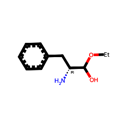 CCOC(O)[C@H](N)Cc1ccccc1